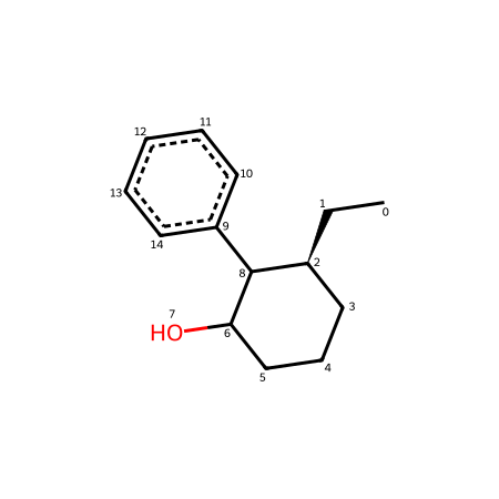 CC[C@H]1CCCC(O)C1c1ccccc1